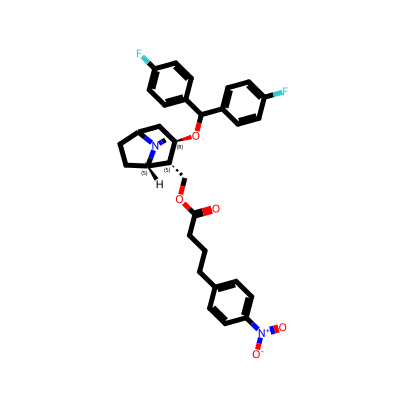 CN1C2CC[C@H]1[C@@H](COC(=O)CCCc1ccc([N+](=O)[O-])cc1)[C@H](OC(c1ccc(F)cc1)c1ccc(F)cc1)C2